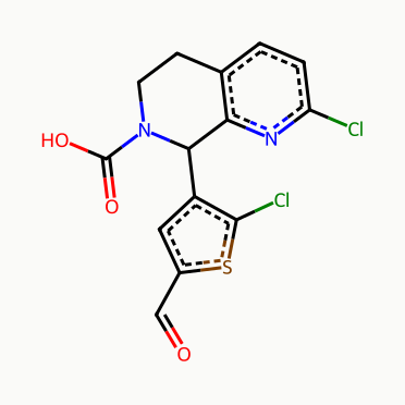 O=Cc1cc(C2c3nc(Cl)ccc3CCN2C(=O)O)c(Cl)s1